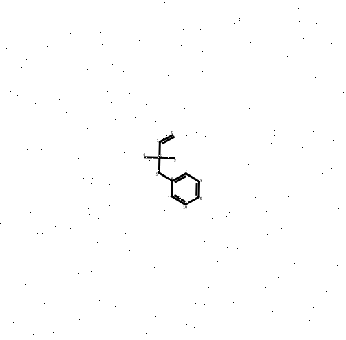 C=CC(C)(C)Cc1c[c]ccc1